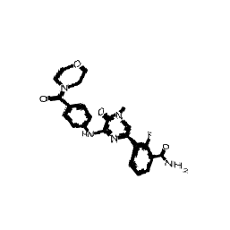 Cn1cc(-c2cccc(C(N)=O)c2F)nc(Nc2ccc(C(=O)N3CCOCC3)cc2)c1=O